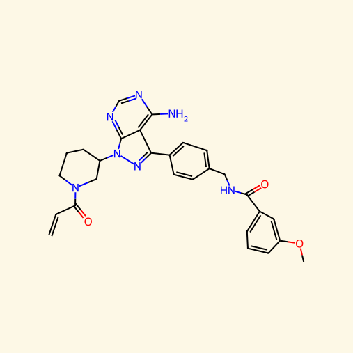 C=CC(=O)N1CCCC(n2nc(-c3ccc(CNC(=O)c4cccc(OC)c4)cc3)c3c(N)ncnc32)C1